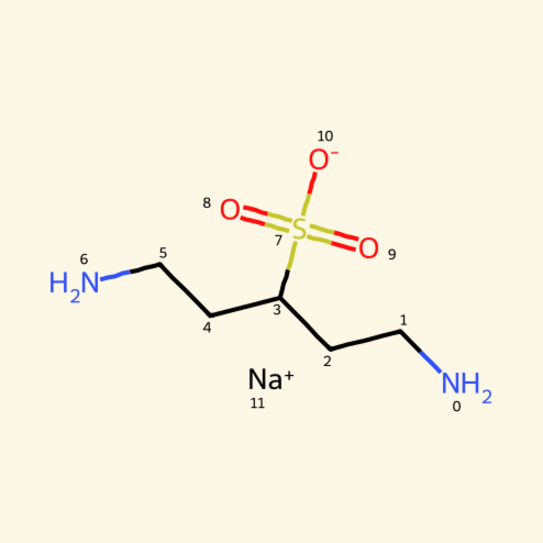 NCCC(CCN)S(=O)(=O)[O-].[Na+]